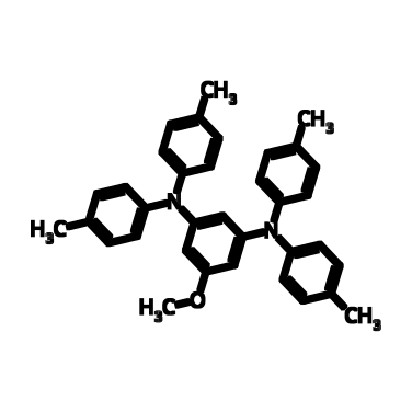 COc1cc(N(c2ccc(C)cc2)c2ccc(C)cc2)cc(N(c2ccc(C)cc2)c2ccc(C)cc2)c1